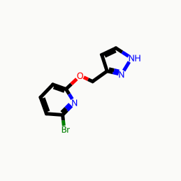 Brc1cccc(OCc2cc[nH]n2)n1